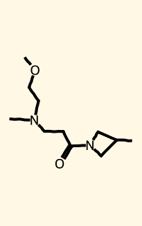 COCCN(C)CCC(=O)N1CC(C)C1